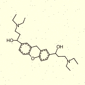 CCN(CC)CCC(O)c1ccc2c(c1)Cc1cc(C(O)CCN(CC)CC)ccc1O2